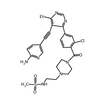 CCc1ncnc(-c2ccc(C(=O)N3CCN(CCNS(C)(=O)=O)CC3)c(Cl)c2)c1C#Cc1ccc(N)nc1